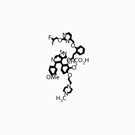 COc1cccc(-c2ncc3snc(O[C@H](Cc4ccccc4OCc4ccnc(OCC(F)F)n4)C(=O)O)c3c2-c2ccc(OCCN3CCN(C)CC3)c(Cl)c2C)c1